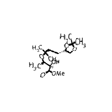 COC(=O)[C@H](O)C(C)OC(C)(C)CC[C@H]1COC(C)(C)O1